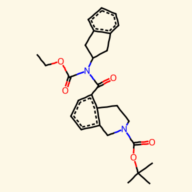 CCOC(=O)N(C(=O)c1cccc2c1CCN(C(=O)OC(C)(C)C)C2)C1Cc2ccccc2C1